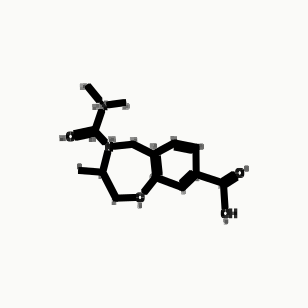 CC1COc2cc(C(=O)O)ccc2CN1C(=O)N(C)C